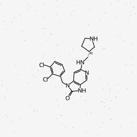 O=c1[nH]c2cnc(NC[C@@H]3CCNC3)cc2n1Cc1cccc(Cl)c1Cl